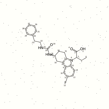 CCC(C(=O)O)n1c2c(c3cc(F)ccc31)C[C@@H](NC(=O)NCCc1ccccc1)CC2